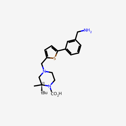 CC(C)(C)[C@@]1(C)CN(Cc2ccc(-c3cccc(CN)c3)s2)CCN1C(=O)O